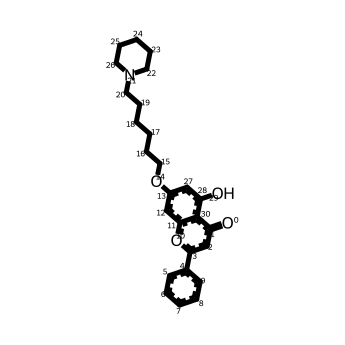 O=c1cc(-c2ccccc2)oc2cc(OCCCCCCN3CCCCC3)cc(O)c12